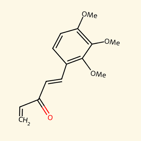 C=CC(=O)C=Cc1ccc(OC)c(OC)c1OC